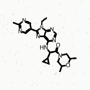 CCn1c(-c2cnc(C)nc2)nc2c(NC(C(=O)N3CC(C)OC(C)C3)C3CC3)ncnc21